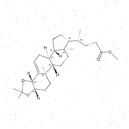 COC(=O)CC[C@@H](C)[C@H]1CC[C@H]2[C@@H]3CC=C4[C@H]5OC(C)(C)O[C@H]5CC[C@]4(C)[C@H]3CC[C@]12C